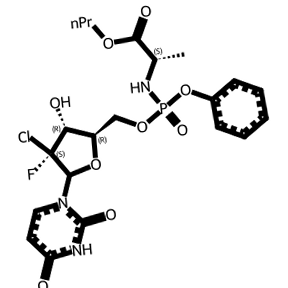 CCCOC(=O)[C@H](C)NP(=O)(OC[C@H]1OC(n2ccc(=O)[nH]c2=O)[C@@](F)(Cl)[C@@H]1O)Oc1ccccc1